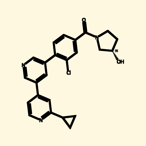 O=C(c1ccc(-c2cncc(-c3ccnc(C4CC4)c3)c2)c(Cl)c1)N1CC[C@H](O)C1